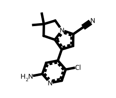 CC1(C)Cc2c(-c3cc(N)ncc3Cl)cc(C#N)n2C1